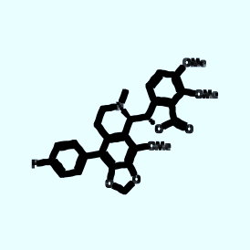 COc1ccc2c(c1OC)C(=O)O[C@@H]2[C@H]1c2c(c(-c3ccc(F)cc3)c3c(c2OC)OCO3)CCN1C